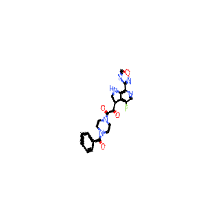 O=C(C(=O)N1CCN(C(=O)c2ccccc2)CC1)C1CNc2c(-c3ncon3)ncc(F)c21